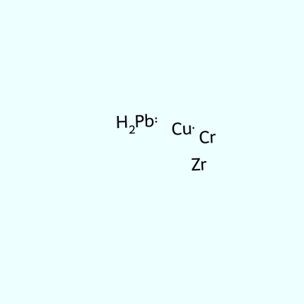 [Cr].[Cu].[PbH2].[Zr]